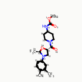 CC(C)(C)OC(=O)NC1CCN(C(=O)[C@@H]2CN(c3ccc(C#N)c(C(F)(F)F)c3)[C@@H](C(F)(F)F)O2)CC1